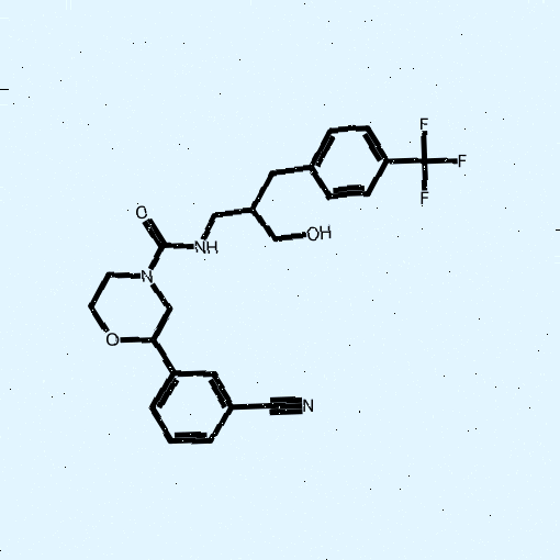 N#Cc1cccc(C2CN(C(=O)NCC(CO)Cc3ccc(C(F)(F)F)cc3)CCO2)c1